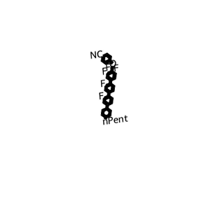 CCCCCC1CCC(c2ccc(-c3ccc(-c4ccc(C(F)(F)Oc5ccc(C#N)cc5)c(F)c4)c(F)c3)c(F)c2)CC1